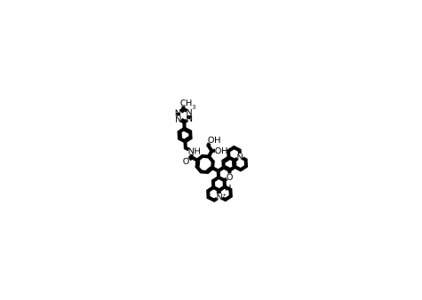 Cc1nnc(-c2ccc(CNC(=O)/C3=C/C/C=C(/C4c5cc6c7c(c5OC5C4CC4CCC[N+]8=C4[C@H]5CCC8)CCCN7CCC6)CC(C(O)CO)C3)cc2)nn1